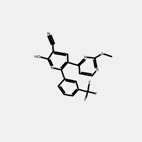 CSc1nccc(-c2cc(C#N)c(O)nc2-c2cccc(C(F)(F)F)c2)n1